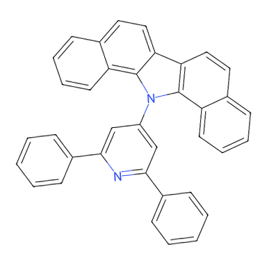 c1ccc(-c2cc(-n3c4c5ccccc5ccc4c4ccc5ccccc5c43)cc(-c3ccccc3)n2)cc1